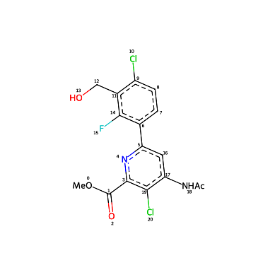 COC(=O)c1nc(-c2ccc(Cl)c(CO)c2F)cc(NC(C)=O)c1Cl